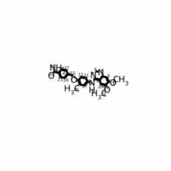 COc1cc2ncnc(Nc3ccc(OCc4ccc(C(N)=O)cc4)c(C)c3)c2cc1OC